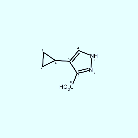 O=C(O)c1n[nH]cc1C1CC1